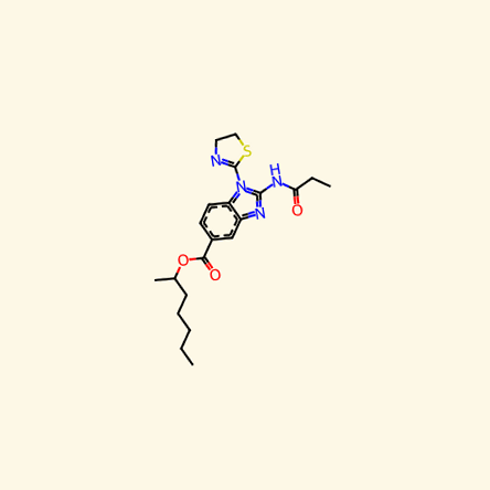 CCCCCC(C)OC(=O)c1ccc2c(c1)nc(NC(=O)CC)n2C1=NCCS1